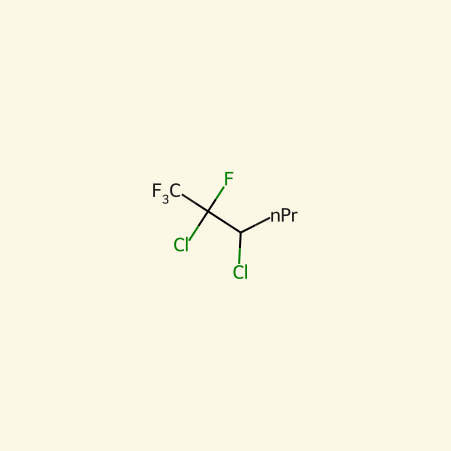 CCCC(Cl)C(F)(Cl)C(F)(F)F